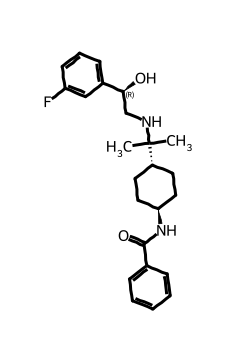 CC(C)(NC[C@H](O)c1cccc(F)c1)[C@H]1CC[C@H](NC(=O)c2ccccc2)CC1